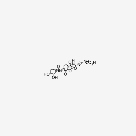 O=C(O)NC1CN(C(=O)NS(=O)(=O)N2CCN(NC(=O)c3ccc(O)c(O)c3)C(=O)C2=O)C1